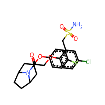 NS(=O)(=O)Cc1cc(Cl)ccc1OCC(=O)N1C2CCC1CC(Oc1ccc(F)cc1)C2